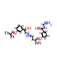 CCCC(CCNCC[C@@H](O)c1cccc(OCC(CC)CC)c1)COc1cccc([C@H](O)CCN)c1